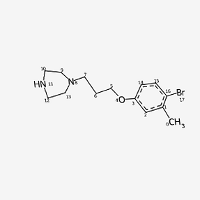 Cc1cc(OCCCN2CCNCC2)ccc1Br